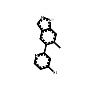 CCc1ccnc(-c2cc3cn[nH]c3cc2C)c1